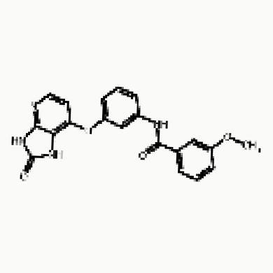 COc1cccc(C(=O)Nc2cccc(Oc3ccnc4[nH]c(=O)[nH]c34)c2)c1